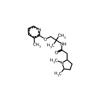 Cc1cccnc1OCC(C)(C)NC(=O)CC1CCC(C)N1C